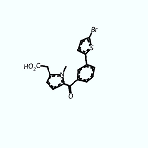 Cn1c(CC(=O)O)ccc1C(=O)c1cccc(-c2ccc(Br)s2)c1